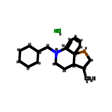 Cl.O=C(O)C1CSC23CC=CC=C2N(CC2CCCCC2)CCC13